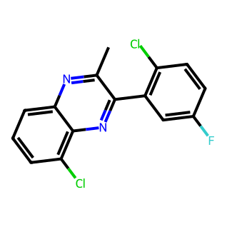 Cc1nc2cccc(Cl)c2nc1-c1cc(F)ccc1Cl